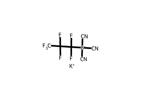 N#C[B-](C#N)(C#N)C(F)(F)C(F)(F)C(F)(F)F.[K+]